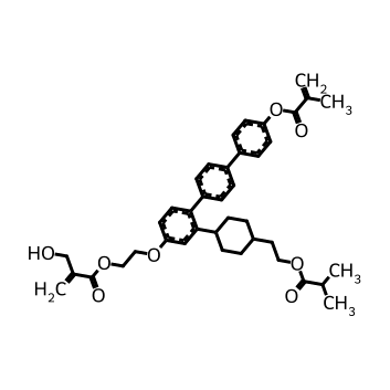 C=C(C)C(=O)Oc1ccc(-c2ccc(-c3ccc(OCCOC(=O)C(=C)CO)cc3C3CCC(CCOC(=O)C(C)C)CC3)cc2)cc1